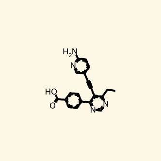 CCc1ncnc(-c2ccc(C(=O)O)cc2)c1C#Cc1ccc(N)nc1